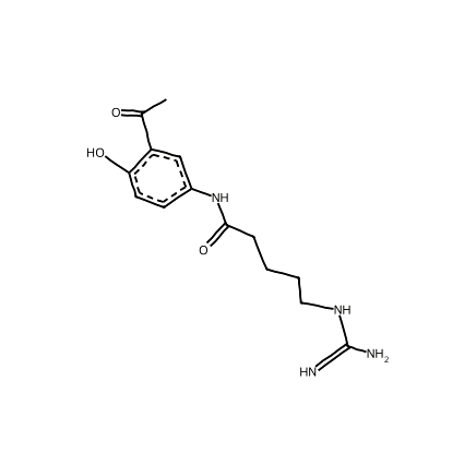 CC(=O)c1cc(NC(=O)CCCCNC(=N)N)ccc1O